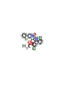 CC1OC(Cc2c(C(=O)N3CCC(c4ccccc4F)CC3)nn(-c3ccccc3Cl)c2-c2ccc(Cl)cc2)O1